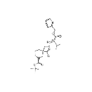 COC(=O)C1(CCN[C@@H](C(=O)OCc2ccccc2)C(C)C)CCCN(C(=O)OC(C)(C)C)C1